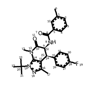 Cc1cccc(C(=O)N[C@@H]2C(=O)N(C)c3c(c(C)nn3C(C)(C)C)[C@@H]2c2ccc(F)cc2)c1